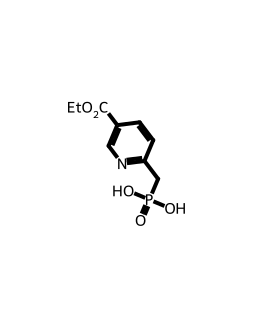 CCOC(=O)c1ccc(CP(=O)(O)O)nc1